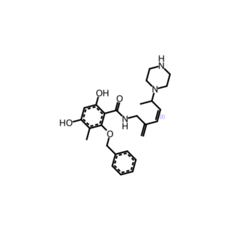 C=C(/C=C\C(C)N1CCNCC1)CNC(=O)c1c(O)cc(O)c(C)c1OCc1ccccc1